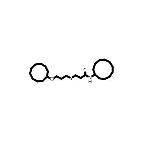 O=C(CCSCCCOC1CCCCCCCCC1)NC1CCCCCCCCCC1